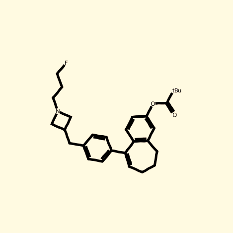 CC(C)(C)C(=O)Oc1ccc2c(c1)CCCC=C2c1ccc(CC2CN(CCCF)C2)cc1